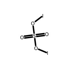 O=S(=O)(OI)OI